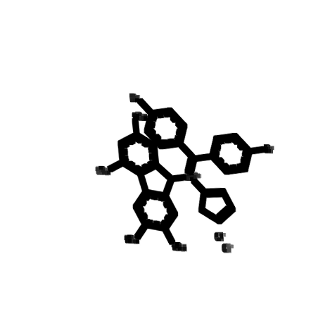 CC(C)(C)c1cc2c(c(C(C)(C)C)c1)-c1cc(C(C)(C)C)c(C(C)(C)C)cc1[CH]2[Zr+2]([C]1=CC=CC1)=[C](c1ccc(Br)cc1)c1ccc(Br)cc1.[Cl-].[Cl-]